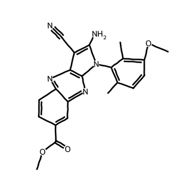 COC(=O)c1ccc2nc3c(C#N)c(N)n(-c4c(C)ccc(OC)c4C)c3nc2c1